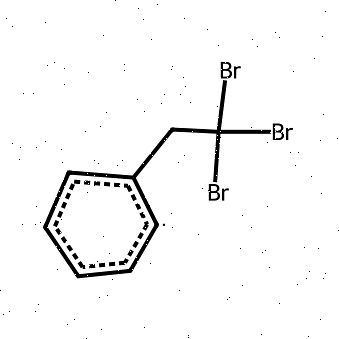 BrC(Br)(Br)Cc1[c]cccc1